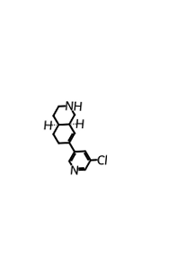 Clc1cncc(C2=C[C@@H]3CNCC[C@@H]3CC2)c1